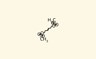 CCS(=O)(=O)OCCC=CCCOS(=O)(=O)CC